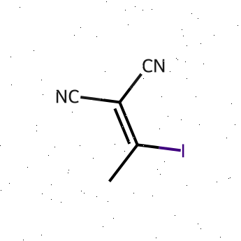 CC(I)=C(C#N)C#N